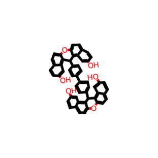 Oc1ccc2ccc3c(c2c1)C(c1ccc(-c2ccc(C4c5c(ccc6ccc(O)cc56)Oc5ccc6ccc(O)cc6c54)cc2)cc1)c1c(ccc2ccc(O)cc12)O3